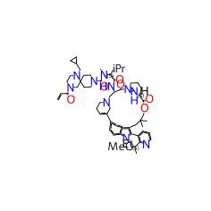 C=CC(=O)N1CCN(CC2CC2)C2(CCN(C(=O)N(C)[C@H](C(=O)NC3CN4CCC=C(C4)c4ccc5c(c4)c(c(-c4cccnc4[C@H](C)OC)n5CC)CC(C)(C)COC(=O)[C@@H]4CCCN(N4)C3=O)C(C)C)CC2)C1